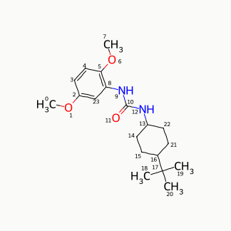 COc1ccc(OC)c(NC(=O)NC2CCC(C(C)(C)C)CC2)c1